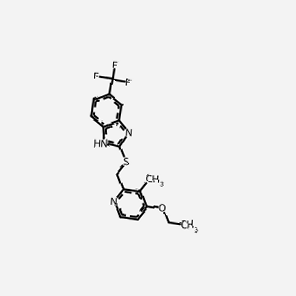 CCOc1ccnc(CSc2nc3cc(C(F)(F)F)ccc3[nH]2)c1C